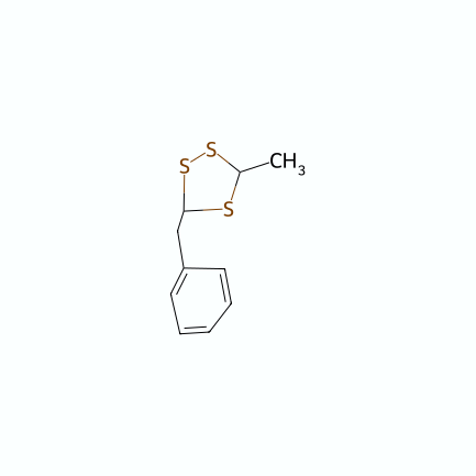 CC1SSC(Cc2ccccc2)S1